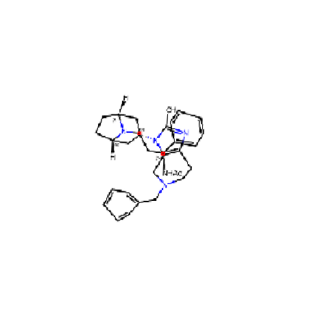 CC(=O)N[C@@H](CCN1[C@@H]2CC[C@H]1C[C@@H](n1c(C)nc3c1CN(Cc1ccccc1)CC3)C2)c1ccccc1